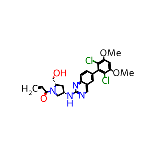 C=CC(=O)N1C[C@@H](Nc2ncc3cc(-c4c(Cl)c(OC)cc(OC)c4Cl)ccc3n2)C[C@H]1CO